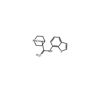 C=C(Nc1cccc2ccsc12)C1CN2CCC1CC2